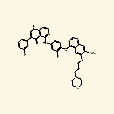 COc1cc2ncnc(Oc3ccc(Nc4nccc5[nH]cc(-c6cccc(F)c6)c(=O)c45)cc3F)c2cc1OCCCN1CCOCC1